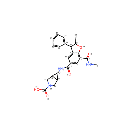 CNC(=O)c1cc(C(=O)NC2C3CN(C(=O)O)CC32)cc2c1OC(C)C2c1ccccc1